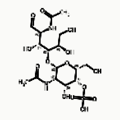 CC(=O)N[C@@H]1[C@H](O[C@@H]([C@H](O)[C@@H](C=O)NC(C)=O)[C@H](O)CO)O[C@H](CO)[C@H](OS(=O)(=O)O)[C@@H]1O